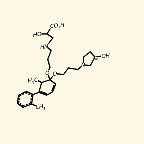 Cc1ccccc1C1=CC=CC(OCCCNCC(O)C(=O)O)(OCCCN2CC[C@@H](O)C2)C1C